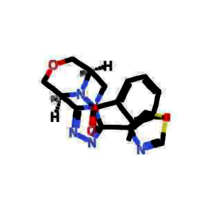 Cc1cccc(C(=O)N2[C@H]3COC[C@@H]2c2nnc(-c4cscn4)n2C3)c1C